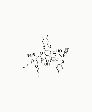 CCCCOC1[C@H](OCCCC)C(CO)O[C@H](O[C@@H]2C(C=O)O[C@@H](O[C@@H]3C(CO)O[C@@H](Sc4ccc(C)cc4)C(N=[N+]=[N-])[C@H]3O)[C@@H](OCCCC)C2OCCCC)[C@H]1N=[N+]=[N-]